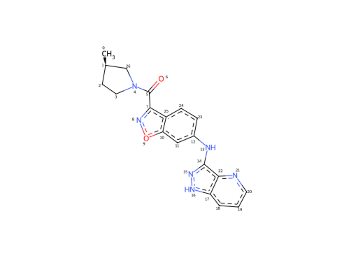 C[C@@H]1CCN(C(=O)c2noc3cc(Nc4n[nH]c5cccnc45)ccc23)C1